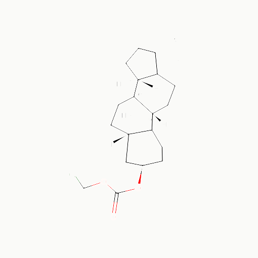 CC(=O)[C@H]1CC[C@H]2[C@@H]3CC[C@H]4C[C@H](OC(=O)OCCl)CC[C@]4(C)[C@H]3CC[C@]12C